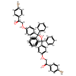 O=C(COc1ccc(C(OC(c2ccccc2)(c2ccccc2)c2ccc(OCC(=O)c3ccc(Br)cc3)cc2)(c2ccccc2)c2ccccc2)cc1)c1ccc(Br)cc1